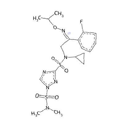 CC(C)O/N=C(\CN(C1CC1)S(=O)(=O)c1ncn(S(=O)(=O)N(C)C)n1)c1ccccc1F